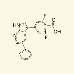 O=C(O)c1c(F)cc(-c2c[nH]c3ncc(-c4ccccc4)cc23)cc1F